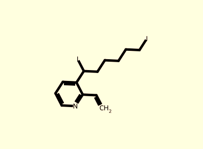 C=Cc1ncccc1C(I)CCCCCI